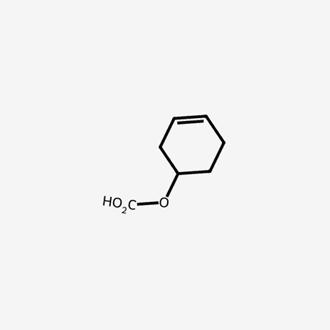 O=C(O)OC1CC=CCC1